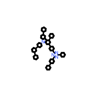 c1ccc(-c2ccc(-c3nc(-c4ccccc4)nc(-c4ccc(-c5cc(-c6ccccc6)c6c7cc(-c8ccccc8)ccc7n(-c7ccc(-c8cccc(-c9ccccc9)c8)cc7)c6c5)cc4)n3)cc2)cc1